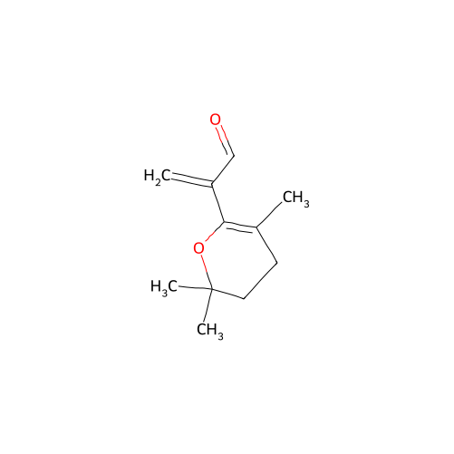 C=C(C=O)C1=C(C)CCC(C)(C)O1